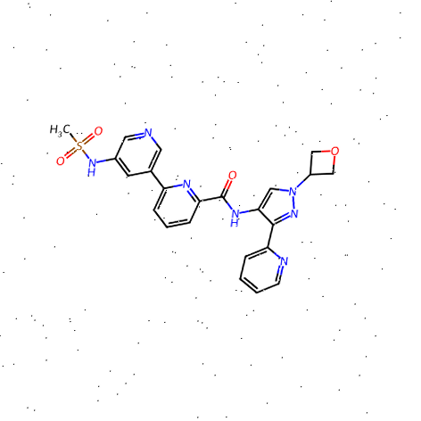 CS(=O)(=O)Nc1cncc(-c2cccc(C(=O)Nc3cn(C4COC4)nc3-c3ccccn3)n2)c1